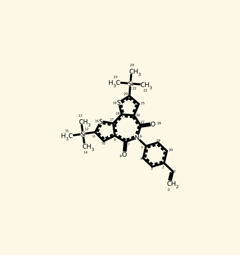 C=Cc1ccc(-n2c(=O)c3cc([Si](C)(C)C)sc3c3sc([Si](C)(C)C)cc3c2=O)cc1